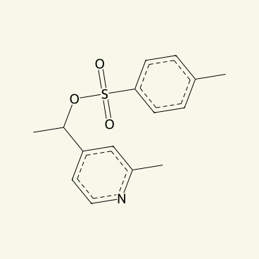 Cc1ccc(S(=O)(=O)OC(C)c2ccnc(C)c2)cc1